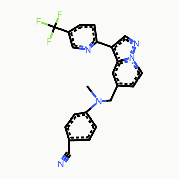 CN(Cc1ccn2ncc(-c3ccc(C(F)(F)F)cn3)c2c1)c1ccc(C#N)cc1